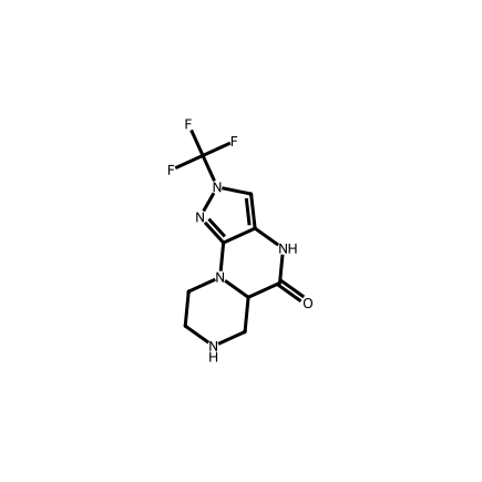 O=C1Nc2cn(C(F)(F)F)nc2N2CCNCC12